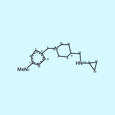 CNc1ccc(CN2CCC(CNC3CC3)CC2)cc1